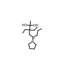 CCC[C@H](CC(CC)(CC)C(C)(O)O)N1CCCC1